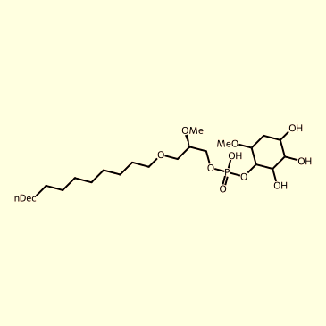 CCCCCCCCCCCCCCCCCCOC[C@H](COP(=O)(O)OC1C(OC)CC(O)C(O)C1O)OC